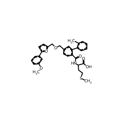 COc1cccc(-c2ccc(COCc3ccc(C(=O)NC(CCSC)C(=O)O)c(-c4ccccc4C)c3)o2)c1